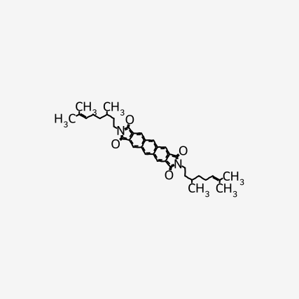 CC(C)=CCCC(C)CCn1c(=O)c2cc3cc4cc5c(=O)n(CCC(C)CCC=C(C)C)c(=O)c5cc4cc3cc2c1=O